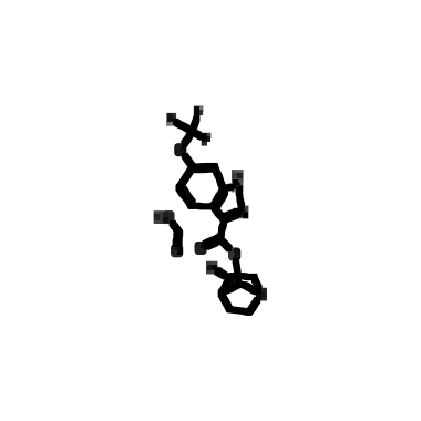 O=C(O[C@@H]1CN2CCC1CC2)c1n[nH]c2cc(OC(F)(F)F)ccc12.O=CO